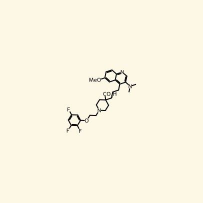 COc1ccc2ncc(N(C)C)c(CCCC3(C(=O)O)CCN(CCOc4cc(F)cc(F)c4F)CC3)c2c1